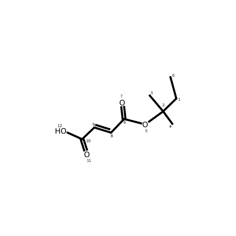 CCC(C)(C)OC(=O)C=CC(=O)O